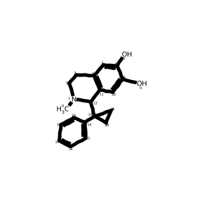 CN1CCc2cc(O)c(O)cc2C1C1(c2ccccc2)CC1